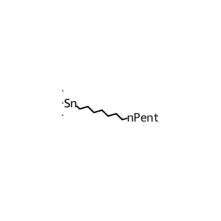 CCCCCCCCCCC[CH2][Sn]